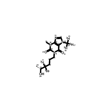 [2H]C([2H])(CCCn1c(=O)c2c(ncn2C([2H])([2H])[2H])n(C)c1=O)[C@@H](C)O